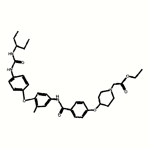 CCOC(=O)CN1CCC(Oc2ccc(C(=O)Nc3ccc(Oc4ccc(NC(=O)NC(CC)CC)cc4)c(C)c3)cc2)CC1